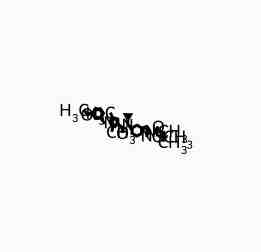 COc1cccc(Cn2c(C)cc(C(=O)N(C3CC3)C3CCc4nn(C(=O)OC(C)(C)C)cc4C3)c2C)c1